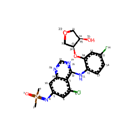 CS(C)(=O)=Nc1cc(Cl)c2c(Nc3ccc(F)cc3O[C@H]3COC[C@H]3O)ncnc2c1